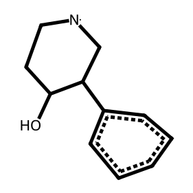 OC1CC[N]CC1c1ccccc1